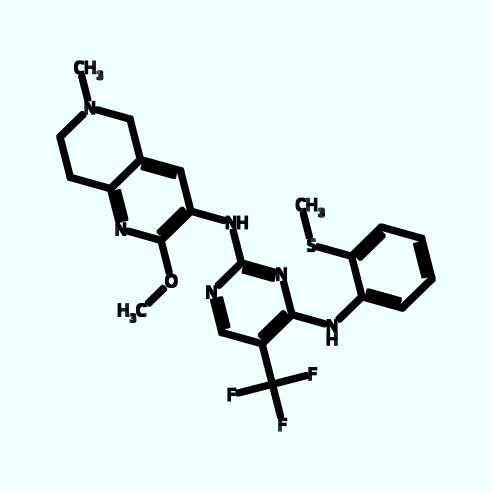 COc1nc2c(cc1Nc1ncc(C(F)(F)F)c(Nc3ccccc3SC)n1)CN(C)CC2